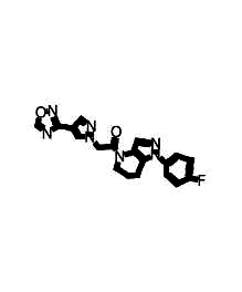 O=C(Cn1cc(-c2ncon2)cn1)N1CCCc2c1cnn2-c1ccc(F)cc1